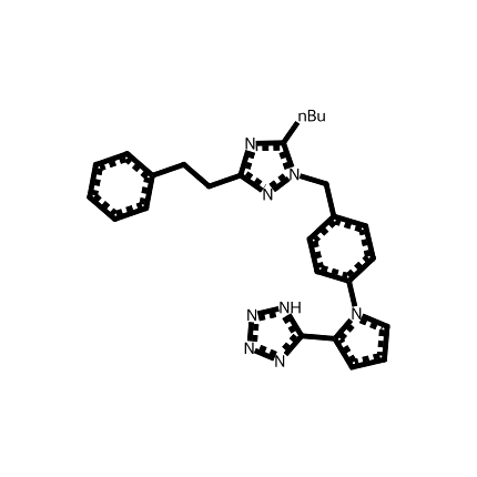 CCCCc1nc(CCc2ccccc2)nn1Cc1ccc(-n2cccc2-c2nnn[nH]2)cc1